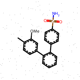 COc1cc(-c2ccccc2-c2ccc(S(N)(=O)=O)cc2)ccc1C